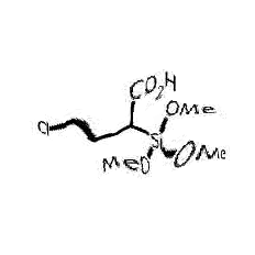 CO[Si](OC)(OC)C(CCCl)C(=O)O